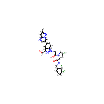 CC(=O)c1nn(CC(=O)N2C[C@H](F)C[C@H]2C(=O)NCc2cccc(Cl)c2F)c2ccc(-c3cnc4cc(C)nn4c3)cc12